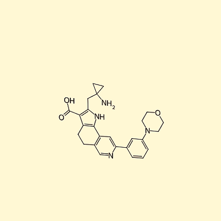 NC1(Cc2[nH]c3c(c2C(=O)O)CCc2cnc(-c4cccc(N5CCOCC5)c4)cc2-3)CC1